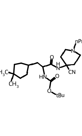 CCCN1CCC(C#N)(NC(=O)C(CC2CCC(C)(C)CC2)NC(=O)OC(C)(C)C)CC1